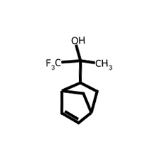 CC(O)(C1CC2C=CC1C2)C(F)(F)F